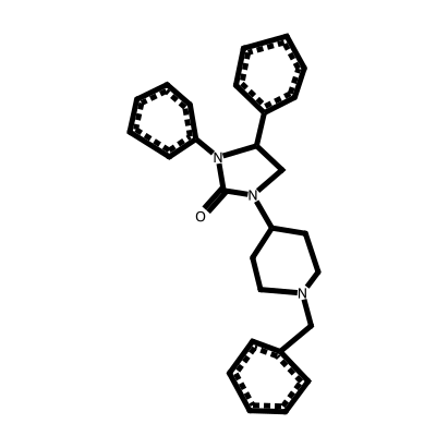 O=C1N(C2CCN(Cc3ccccc3)CC2)CC(c2ccccc2)N1c1ccccc1